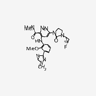 CNC(=O)c1nnc(N2CCN(C3C[C@@H]3F)C2=O)cc1Nc1cccc(-c2ncn(C)n2)c1OC